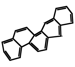 [c]1c2ccccc2[c]c2c1ccc1c3ccccc3ccc21